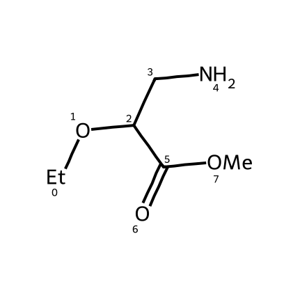 [CH2]COC(CN)C(=O)OC